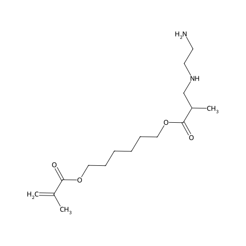 C=C(C)C(=O)OCCCCCCOC(=O)C(C)CNCCN